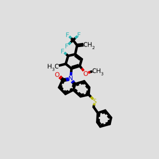 C=C(C1=CC(OC)=C(n2c(=O)ccc3cc(SCc4ccccc4)ccc32)C(C)C1F)C(F)(F)F